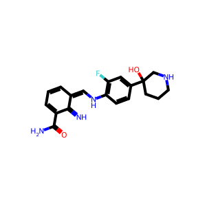 N=C1C(C(N)=O)=CC=C/C1=C/Nc1ccc(C2(O)CCCNC2)cc1F